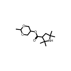 CC1OCC(OC(=O)C2CC(C)(C)NC2(C)C)CO1